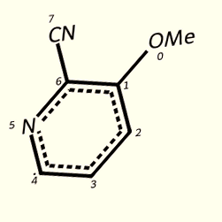 COc1cc[c]nc1C#N